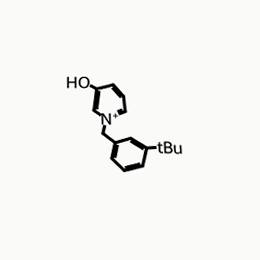 CC(C)(C)c1cccc(C[n+]2cccc(O)c2)c1